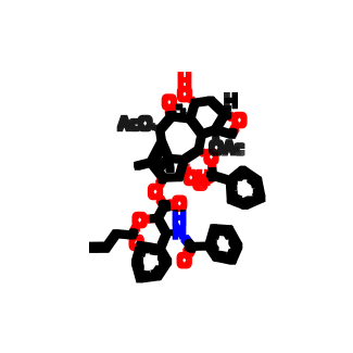 C=CCC(=O)OC(C(=O)OC1C[C@]2(O)[C@H](OC(=O)c3ccccc3)C3[C@@]4(OC(C)=O)CO[C@H]4C[C@@H](O)[C@]3(C)C(=O)[C@@H](OC(C)=O)C(=C1C)C2(C)C)[C@H](NC(=O)c1ccccc1)c1ccccc1